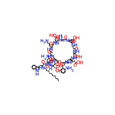 CCCCCCCCCC(=O)N[C@@H](Cc1c[nH]c2ccccc12)C(=O)N[C@@H](CC(N)=O)C(=O)N[C@@H](CC(=O)O)C(=O)N[C@@H]1C(=O)NCC(=O)N[C@@H](CCCN)C(=O)N[C@@H](CC(=O)O)C(=O)N[C@H](C)C(=O)N[C@@H](CC(=O)O)C(=O)NCC(=O)N[C@H](CO)C(=O)N[C@@H]([C@@H](C)CC(=O)O)CN[C@@H](CC(=O)c2ccccc2N)C(=O)O[C@@H]1C